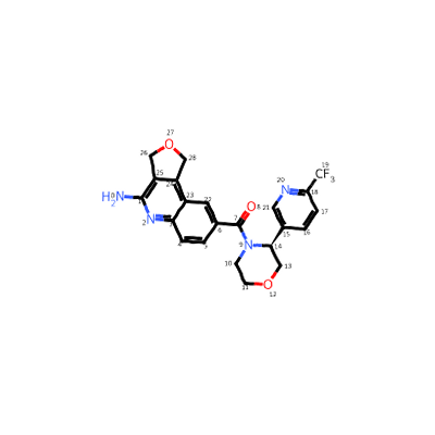 Nc1nc2ccc(C(=O)N3CCOC[C@@H]3c3ccc(C(F)(F)F)nc3)cc2c2c1COC2